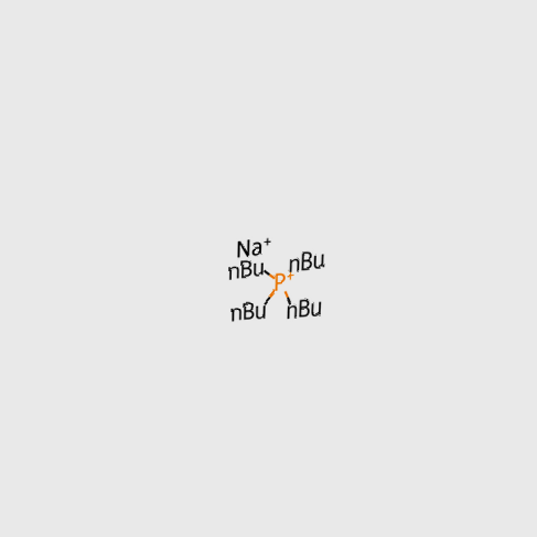 CCCC[P+](CCCC)(CCCC)CCCC.[Na+]